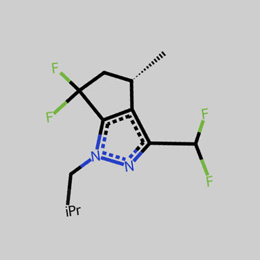 CC(C)Cn1nc(C(F)F)c2c1C(F)(F)C[C@@H]2C